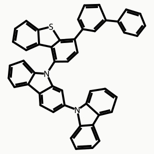 c1ccc(-c2cccc(-c3ccc(-n4c5ccccc5c5ccc(-n6c7ccccc7c7ccccc76)cc54)c4c3sc3ccccc34)c2)cc1